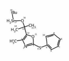 Cc1nc(Sc2ccccc2)oc1C(C)(C)O[SiH2]C(C)(C)C